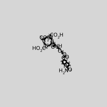 NC(=O)c1ccc2cc(OC(=O)OCCOCCNC(=O)CN3CCN(CC(=O)O)CCN(CC(=O)O)CCN(CC(=O)O)CC3)ccc2n1